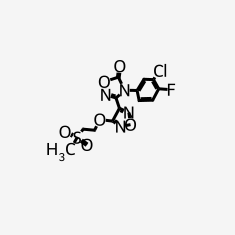 CS(=O)(=O)CCOc1nonc1-c1noc(=O)n1-c1ccc(F)c(Cl)c1